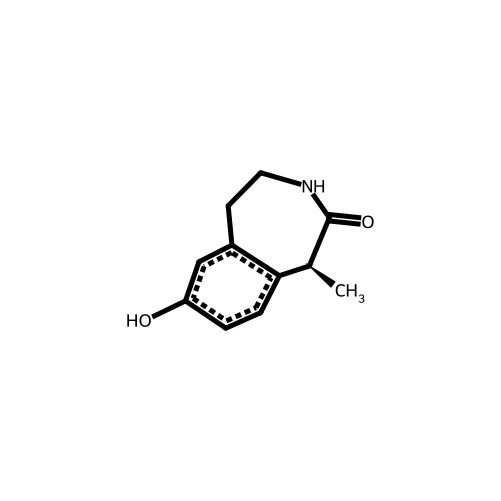 C[C@@H]1C(=O)NCCc2cc(O)ccc21